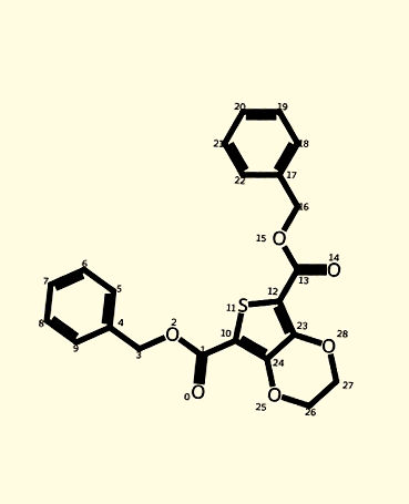 O=C(OCc1ccccc1)c1sc(C(=O)OCc2ccccc2)c2c1OCCO2